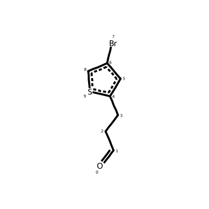 O=CCCc1cc(Br)cs1